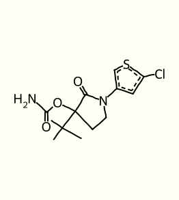 CC(C)(C)C1(OC(N)=O)CCN(c2csc(Cl)c2)C1=O